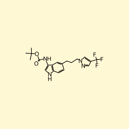 CC(C)(C)OC(=O)Nc1c[nH]c2ccc(CCCn3cc(C(F)(F)F)cn3)cc12